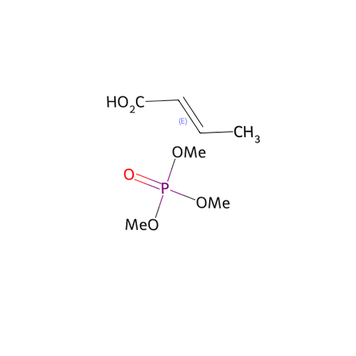 C/C=C/C(=O)O.COP(=O)(OC)OC